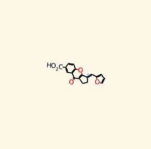 O=C(O)c1ccc2oc3c(c(=O)c2c1)CC/C3=C\c1ccco1